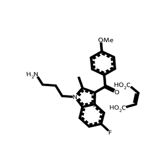 COc1ccc(C(=O)c2c(C)n(CCCN)c3ccc(F)cc23)cc1.O=C(O)/C=C\C(=O)O